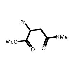 CNC(=O)CC(C(=O)OC)C(C)C